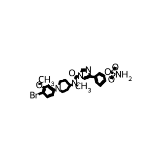 COc1cc(N2CCC(N(C)C(=O)n3cnc(-c4cccc(OS(N)(=O)=O)c4)c3)CC2)ccc1Br